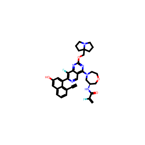 C#Cc1cccc2cc(O)cc(-c3ncc4c(N5CCOC[C@@H](NC(=O)C(=C)F)C5)nc(OCC56CCCN5CCC6)nc4c3F)c12